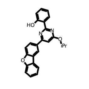 CC(C)Oc1cc(-c2ccc3oc4ccccc4c3c2)nc(-c2ccccc2O)n1